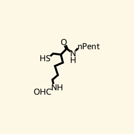 CCCCCNC(=O)C(CS)CCCCNC=O